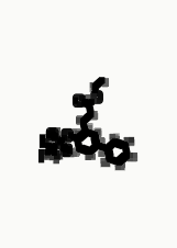 CCOC(=O)CCc1cc(-c2ccccc2)ccc1OS(=O)(=O)C(F)(F)F